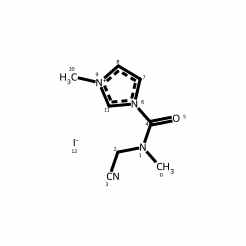 CN(CC#N)C(=O)n1cc[n+](C)c1.[I-]